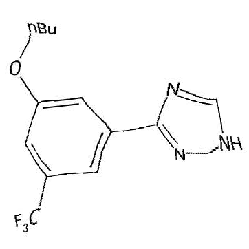 CCCCOc1cc(-c2nc[nH]n2)cc(C(F)(F)F)c1